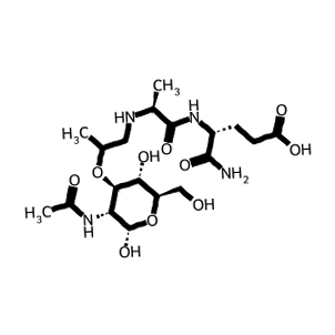 CC(=O)N[C@@H]1[C@@H](OC(C)CN[C@@H](C)C(=O)N[C@H](CCC(=O)O)C(N)=O)[C@H](O)[C@@H](CO)O[C@@H]1O